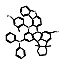 Cc1cc(C(C)(C)C)ccc1N1c2cc(N(c3ccccc3)c3ccccc3)cc3c2B(c2cc(C(C)(C)C)cc4c2C3C2(C)CCCCC42C)c2ccc3sc4ccccc4c3c21